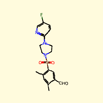 Cc1cc(C)c(S(=O)(=O)N2CCN(c3ccc(F)cn3)CC2)cc1C=O